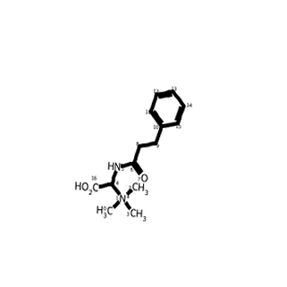 C[N+](C)(C)C(NC(=O)CCc1ccccc1)C(=O)O